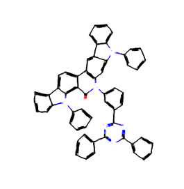 O=c1c2c(ccc3c4ccccc4n(-c4ccccc4)c32)c2cc3c4ccccc4n(-c4ccccc4)c3cc2n1-c1cccc(-c2nc(-c3ccccc3)nc(-c3ccccc3)n2)c1